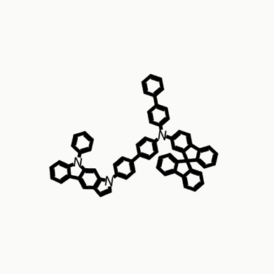 c1ccc(-c2ccc(N(c3ccc(-c4ccc(-n5ccc6cc7c8ccccc8n(-c8ccccc8)c7cc65)cc4)cc3)c3ccc4c(c3)C3(c5ccccc5-c5ccccc53)c3ccccc3-4)cc2)cc1